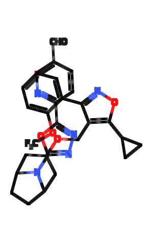 O=Cc1ccc(-c2nnc(N3C4CCC3CC(OCc3c(-c5ccccc5OC(F)(F)F)noc3C3CC3)C4)o2)nc1